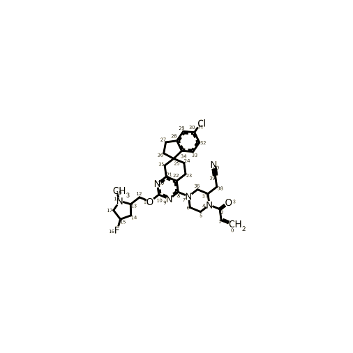 C=CC(=O)N1CCN(c2nc(OCC3CC(F)CN3C)nc3c2CCC2(CCc4cc(Cl)ccc42)C3)CC1CC#N